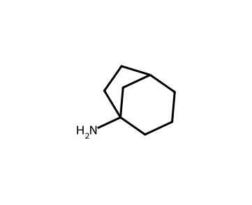 NC12CCCC(CC1)C2